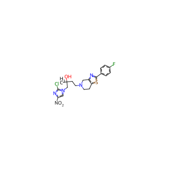 CC(O)(CCN1CCc2sc(-c3ccc(F)cc3)nc2C1)Cn1cc([N+](=O)[O-])nc1Cl